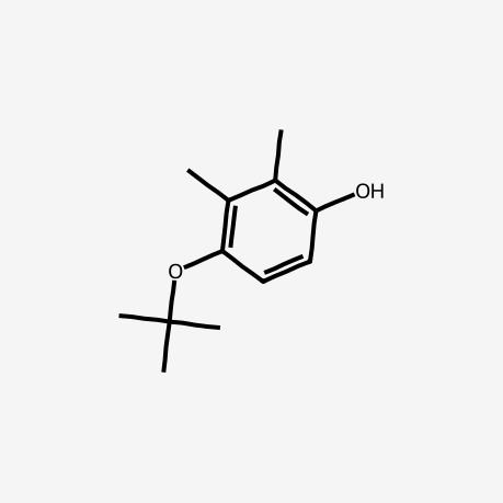 Cc1c(O)ccc(OC(C)(C)C)c1C